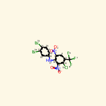 O=[N+]([O-])c1cc(C(F)(F)F)c(Cl)c([N+](=O)[O-])c1Nc1ccc(Br)c(Br)c1